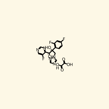 C[C@@H](c1ncncc1F)[C@](O)(Cn1cncn1)c1ccc(F)cc1F.O=C(O)C(=O)O